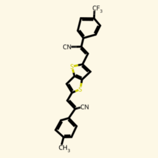 [C-]#[N+]/C(=C\c1cc2sc(/C=C(\C#N)c3ccc(C)cc3)cc2s1)c1ccc(C(F)(F)F)cc1